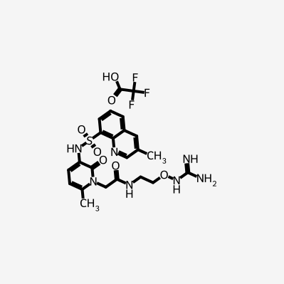 Cc1cnc2c(S(=O)(=O)Nc3ccc(C)n(CC(=O)NCCONC(=N)N)c3=O)cccc2c1.O=C(O)C(F)(F)F